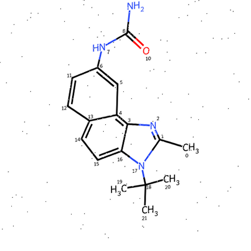 Cc1nc2c3cc(NC(N)=O)ccc3ccc2n1C(C)(C)C